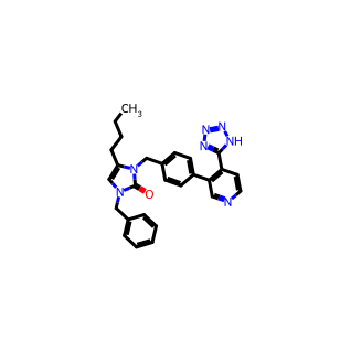 CCCCc1cn(Cc2ccccc2)c(=O)n1Cc1ccc(-c2cnccc2-c2nnn[nH]2)cc1